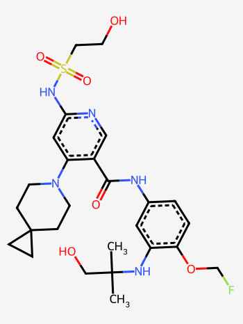 CC(C)(CO)Nc1cc(NC(=O)c2cnc(NS(=O)(=O)CCO)cc2N2CCC3(CC2)CC3)ccc1OCF